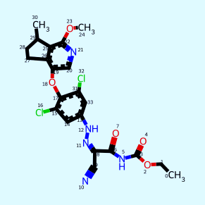 CCOC(=O)NC(=O)C(C#N)=NNc1cc(Cl)c(Oc2cnc(OC)c3c2CCC3C)c(Cl)c1